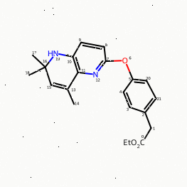 CCOC(=O)Cc1ccc(Oc2ccc3c(n2)C(C)=CC(C)(C)N3)cc1